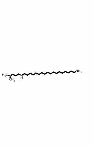 CN(C)CCCNCCCCCCCCCCCCCCCCCCN